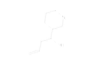 C=CCC(O)C1CCC[N]C1